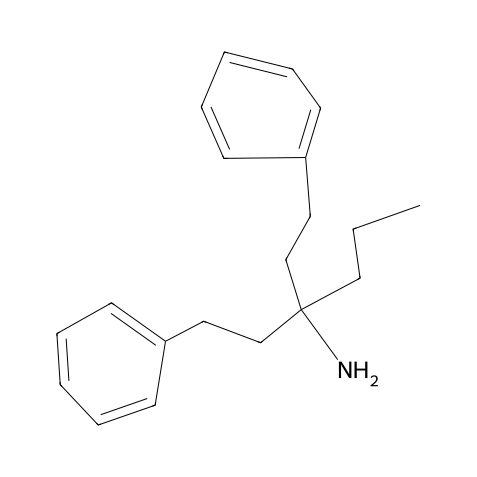 CCCC(N)(CCc1ccccc1)CCc1ccccc1